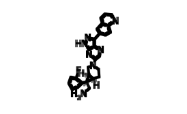 NC[C@]1(c2ccccc2F)[C@@H]2CCN(c3cnc4c(-c5ccc6ncccc6c5)n[nH]c4n3)C[C@@H]21